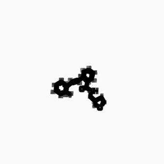 O=C(NCC1CCOC1)c1ccccc1C#Cc1ccccc1F